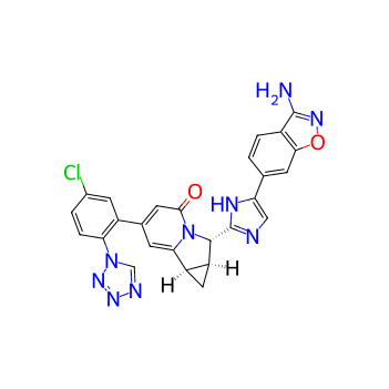 Nc1noc2cc(-c3cnc([C@@H]4[C@H]5C[C@H]5c5cc(-c6cc(Cl)ccc6-n6cnnn6)cc(=O)n54)[nH]3)ccc12